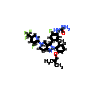 Cc1cccc(OCC(C)C)c1-n1nc2c(c1-c1ccc(NC(N)=O)c(F)c1)CN(c1ncc(C(F)(F)F)cc1F)CC2